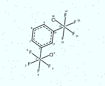 FS(F)(F)(F)(Cl)c1cccc(S(F)(F)(F)(F)Cl)c1